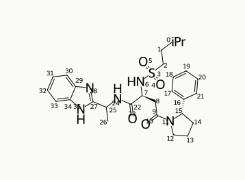 CC(C)CCS(=O)(=O)N[C@@H](CC(=O)N1CCC[C@H]1c1ccccc1)C(=O)NC(C)c1nc2ccccc2[nH]1